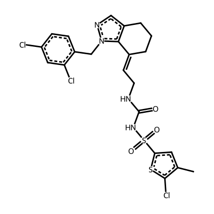 Cc1cc(S(=O)(=O)NC(=O)NC/C=C2\CCCc3cnn(Cc4ccc(Cl)cc4Cl)c32)sc1Cl